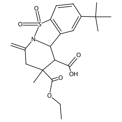 C=C1CC(C)(C(=O)OCC)C(C(=O)O)C2c3cc(C(C)(C)C)ccc3S(=O)(=O)N12